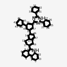 C1=CC2=c3ccccc3=C(c3ccc4cc(-c5cc(C6=NC(c7ccccc7)NC(c7ccccc7)=N6)cc(-c6ccccc6)c5)ccc4c3)NC2C=C1